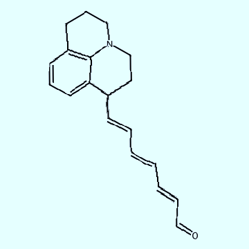 O=CC=CC=CC=CC1CCN2CCCc3cccc1c32